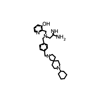 N=C(N)CN(Cc1ccc(CN2CCC3(CCN(C4CCCCC4)CC3)C2)cc1)Cc1ncccc1O